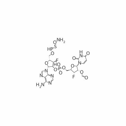 NOSPOC[C@H]1O[C@@H](n2cnc3c(N)ncnc32)[C@H](OP(=O)(O)OC[C@H]2O[C@@H](n3ccc(=O)[nH]c3=O)[C@H](OC=O)[C@@H]2F)[C@@H]1F